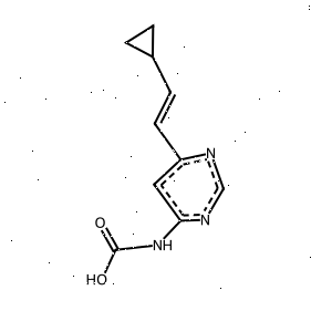 O=C(O)Nc1cc(C=CC2CC2)ncn1